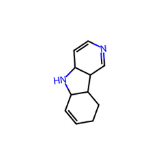 C1=CC2NC3C=CN=CC3C2CC1